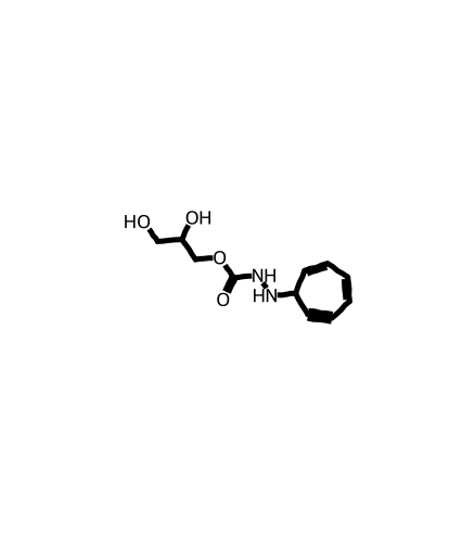 O=C(NNC1C#CC=CC=C1)OCC(O)CO